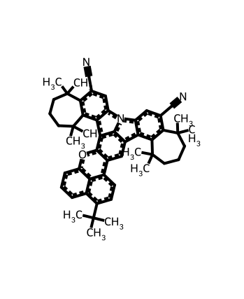 CC(C)(C)c1ccc2c3cc4c5c6c(c(C#N)cc5n5c7cc(C#N)c8c(c7c(c3oc3cccc1c32)c45)C(C)(C)CCCC8(C)C)C(C)(C)CCCC6(C)C